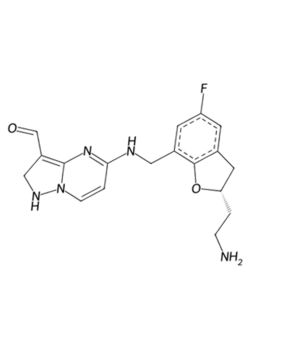 NCC[C@H]1Cc2cc(F)cc(CNC3=NC4=C(C=O)CNN4C=C3)c2O1